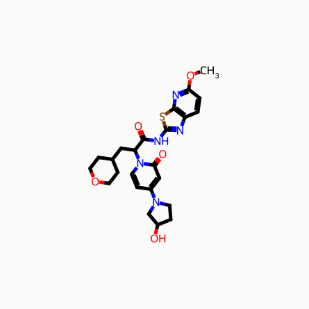 COc1ccc2nc(NC(=O)C(CC3CCOCC3)n3ccc(N4CCC(O)C4)cc3=O)sc2n1